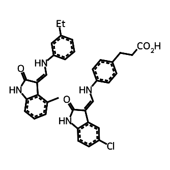 CCc1cccc(NC=C2C(=O)Nc3cccc(C)c32)c1.O=C(O)CCc1ccc(NC=C2C(=O)Nc3ccc(Cl)cc32)cc1